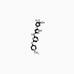 CN1CCC(Oc2cncc(Nc3cc([C@@H]4CC[C@@](C)(O)C4)[nH]n3)n2)CC1